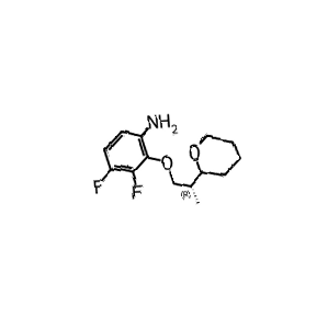 C[C@H](COc1c(N)ccc(F)c1F)C1CCCCO1